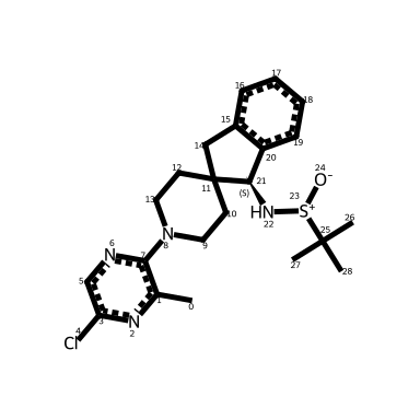 Cc1nc(Cl)cnc1N1CCC2(CC1)Cc1ccccc1[C@H]2N[S+]([O-])C(C)(C)C